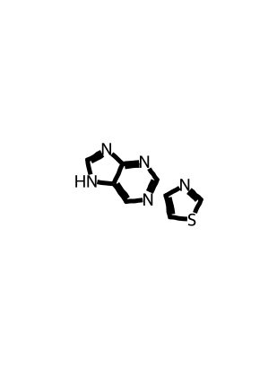 c1cscn1.c1ncc2[nH]cnc2n1